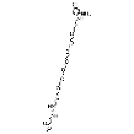 COC(=O)CCNCCNCCOCCOCCOCCOCCOCCOCCOCCOCCCCNc1ccc(Cl)cc1N